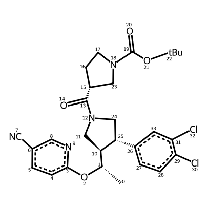 C[C@H](Oc1ccc(C#N)cn1)[C@H]1CN(C(=O)[C@@H]2CCN(C(=O)OC(C)(C)C)C2)C[C@@H]1c1ccc(Cl)c(Cl)c1